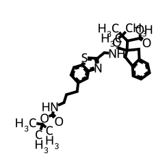 CC(C)(C)OC(=O)NCCCc1ccc2sc(CNC(=O)C3(C(C(=O)O)C(C)(C)C)Cc4ccccc4C3)nc2c1